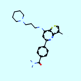 CCN(CC)C(=O)c1ccc(-c2cc(NCCCN3CCCCC3)c3scc(C)c3n2)cc1